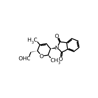 CC1=C[C@@H](N2C(=O)c3ccccc3C2=O)[C@@H](C)O[C@@H]1CC=O